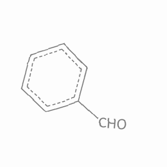 O=[C+]c1ccccc1